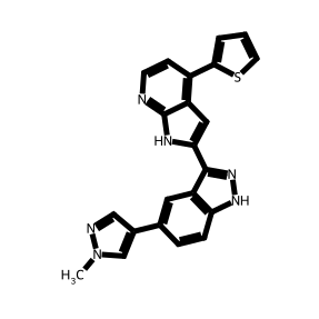 Cn1cc(-c2ccc3[nH]nc(-c4cc5c(-c6cccs6)ccnc5[nH]4)c3c2)cn1